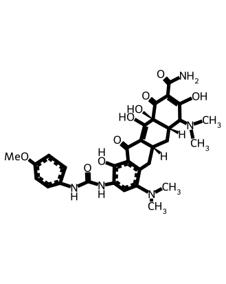 COc1ccc(NC(=O)Nc2cc(N(C)C)c3c(c2O)C(=O)C2=C(O)[C@]4(O)C(=O)C(C(N)=O)=C(O)C(N(C)C)[C@@H]4C[C@@H]2C3)cc1